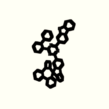 c1ccc(-c2ccccc2-c2nc(-c3ccc4c(c3)C3(c5ccccc5-c5ccccc5-c5ccccc53)c3ccccc3-4)nc(-c3ccc4c(c3)oc3ccccc34)n2)cc1